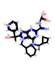 C[C@@H](Nc1nc(C(=N)NC(=O)O)nc2nc(C(C)(O)c3cccnc3)n(CC3CCCCC3)c12)C1CCC1